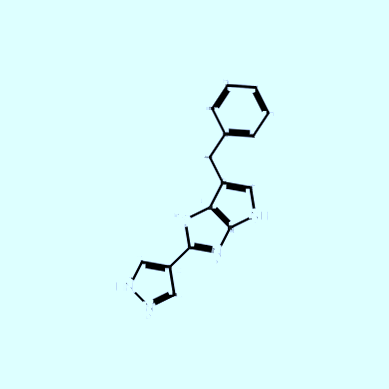 c1ccc(Cc2c[nH]c3nc(-c4cn[nH]c4)sc23)cc1